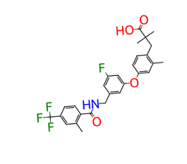 Cc1cc(Oc2cc(F)cc(CNC(=O)c3ccc(C(F)(F)F)cc3C)c2)ccc1CC(C)(C)C(=O)O